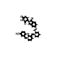 N#Cc1cccc(Cn2cccc(CN3CCCC[C@@H]3COc3ccc4c(c3)CN(C3CCC(=O)NC3=O)C4=O)c2=O)c1